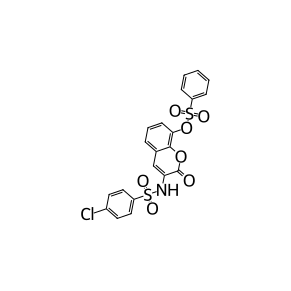 O=c1oc2c(OS(=O)(=O)c3ccccc3)cccc2cc1NS(=O)(=O)c1ccc(Cl)cc1